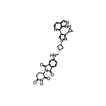 O=C1CCC(N2C(=O)c3ccc(NC[C@H]4C[C@H](n5cc(-c6nccc7cn[nH]c67)c(C6CC6)n5)C4)cc3C2=O)C(=O)N1